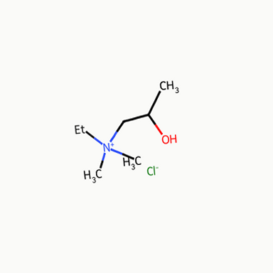 CC[N+](C)(C)CC(C)O.[Cl-]